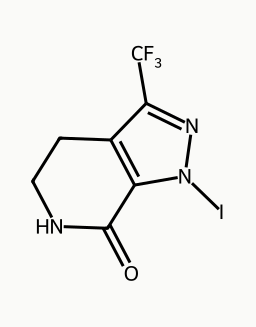 O=C1NCCc2c(C(F)(F)F)nn(I)c21